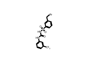 CC(C)Cc1cccc(S(=O)(=O)NC(=O)Nc2cccc(C(F)(F)F)c2)c1